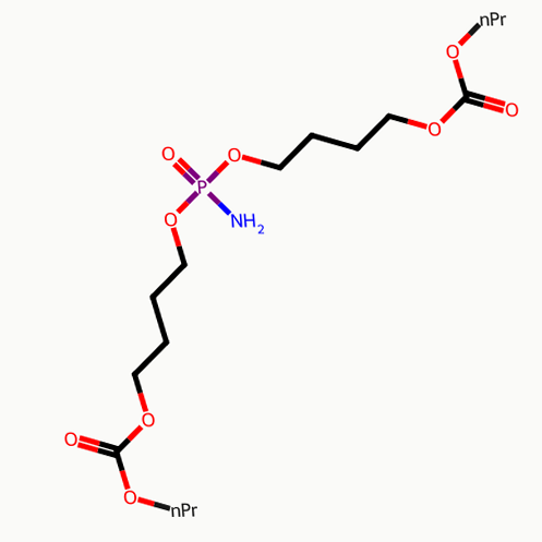 CCCOC(=O)OCCCCOP(N)(=O)OCCCCOC(=O)OCCC